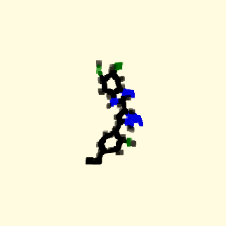 COc1ccc(-c2cc(-c3nc4cc(F)c(Cl)cc4[nH]3)[nH]n2)c(F)c1